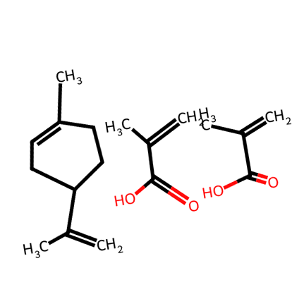 C=C(C)C(=O)O.C=C(C)C(=O)O.C=C(C)C1CC=C(C)CC1